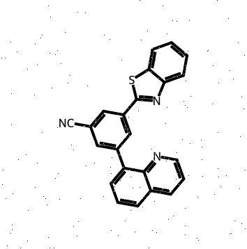 N#Cc1cc(-c2nc3ccccc3s2)cc(-c2cccc3cccnc23)c1